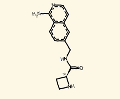 Nc1nccc2cc(CNC(=O)[C@@H]3CCN3)ccc12